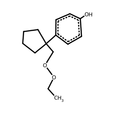 CCOOCC1(c2ccc(O)cc2)CCCC1